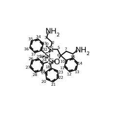 C[Si]1(CCN)CC(CCN)(c2ccccc2)O[Si](c2ccccc2)(c2ccccc2)[Si]1(C)c1ccccc1